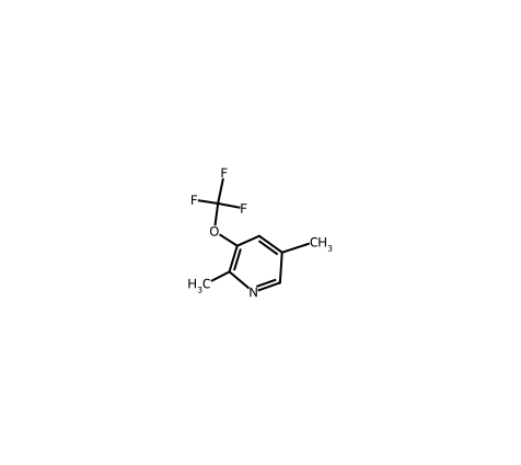 Cc1cnc(C)c(OC(F)(F)F)c1